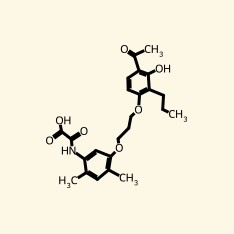 CCCc1c(OCCCOc2cc(NC(=O)C(=O)O)c(C)cc2C)ccc(C(C)=O)c1O